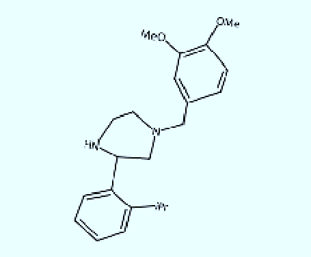 COc1ccc(CN2CCNC(c3ccccc3C(C)C)C2)cc1OC